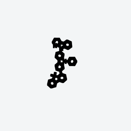 CC1(C)c2ccccc2-c2cccc(-c3ccc4c5ccc(-n6c7ccccc7c7cccnc76)cc5n(-c5ccccc5)c4c3)c21